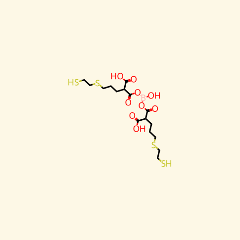 O=C(O)C(CCCSCCS)C(=O)OB(O)OC(=O)C(CCCSCCS)C(=O)O